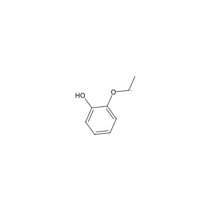 C[CH]Oc1ccccc1O